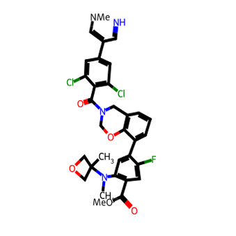 CN/C=C(\C=N)c1cc(Cl)c(C(=O)N2COc3c(cccc3-c3cc(N(C)C4(C)COC4)c(C(=O)OC)cc3F)C2)c(Cl)c1